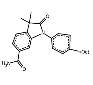 CCCCCCCCc1ccc(N2C(=O)C(C)(C)c3ccc(C(N)=O)cc32)cc1